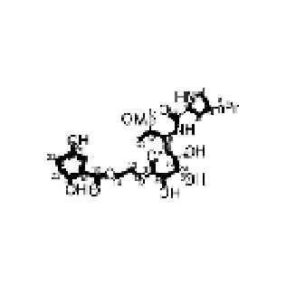 CCC[C@H]1CN[C@H](C(=O)N[C@@H]([C@H]2O[C@H](SCCOC(=O)c3cc(O)ccc3O)[C@H](O)[C@@H](O)[C@H]2O)[C@@H](C)OC)C1